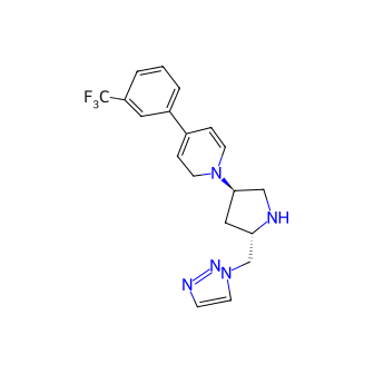 FC(F)(F)c1cccc(C2=CCN([C@H]3CN[C@H](Cn4ccnn4)C3)C=C2)c1